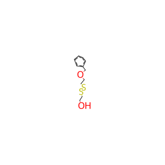 OCCSSCCOCc1ccccc1